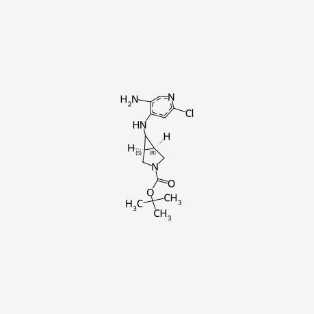 CC(C)(C)OC(=O)N1C[C@@H]2C(Nc3cc(Cl)ncc3N)[C@@H]2C1